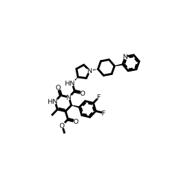 COC(=O)C1=C(C)NC(=O)N(C(=O)N[C@@H]2CCN([C@H]3CC[C@H](c4ccccn4)CC3)C2)[C@H]1c1ccc(F)c(F)c1